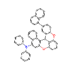 c1ccc(N(c2ccccc2)c2cc3c(c4ccccc24)B2c4cc(-c5cccc6ccccc56)ccc4Oc4cccc(c42)O3)cc1